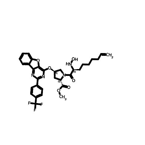 C=CCCCCC[C@H](NO)C(=O)N1C[C@H](Oc2nc(-c3ccc(C(F)(F)F)cc3)nc3c2oc2ccccc23)C[C@H]1C(=O)OC